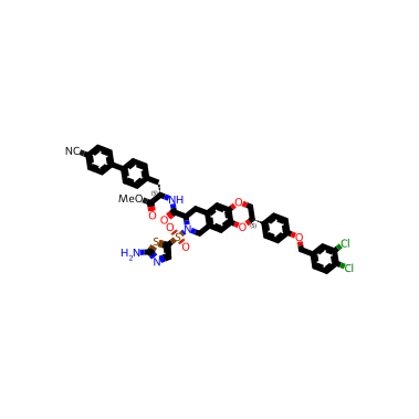 COC(=O)[C@H](Cc1ccc(-c2ccc(C#N)cc2)cc1)NC(=O)C1Cc2cc3c(cc2CN1S(=O)(=O)c1cnc(N)s1)O[C@@H](c1ccc(OCc2ccc(Cl)c(Cl)c2)cc1)CO3